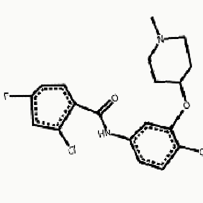 CN1CCC(Oc2cc(NC(=O)c3ccc(F)cc3Cl)ccc2Cl)CC1